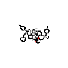 Cc1ccc(C(=O)N(Cc2ccccc2)c2ccc(F)[c]([Ti]([c]3c(F)ccc(N(Cc4ccccc4)C(=O)c4ccc(C)cc4)c3F)([CH]3C=CC=C3)[CH]3C=CC=C3)c2F)cc1